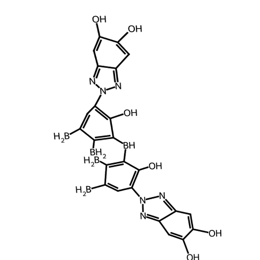 Bc1cc(-n2nc3cc(O)c(O)cc3n2)c(O)c(Bc2c(B)c(B)cc(-n3nc4cc(O)c(O)cc4n3)c2O)c1B